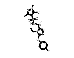 CCn1c(Oc2ccc(F)cc2)nnc1[C@@H](C)NS(=O)(=O)c1c(C)nn(C)c1Cl